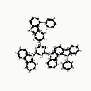 c1ccc(-c2cccc3oc4cc(-c5nc(-n6c7ccccc7c7ccccc76)nc(-n6c7ccccc7c7c6ccc6c8ccccc8n(-c8ccccc8)c67)n5)ccc4c23)cc1